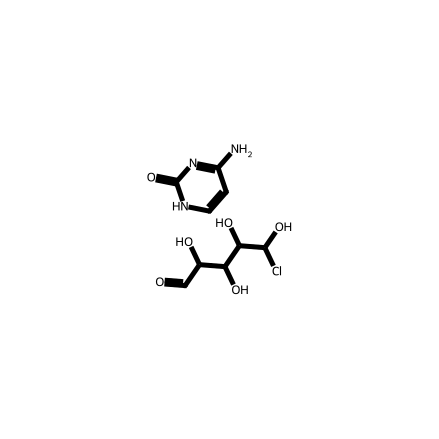 Nc1cc[nH]c(=O)n1.O=CC(O)C(O)C(O)C(O)Cl